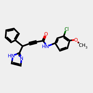 COc1ccc(NC(=O)C#CC(c2ccccc2)c2ncc[nH]2)cc1Cl